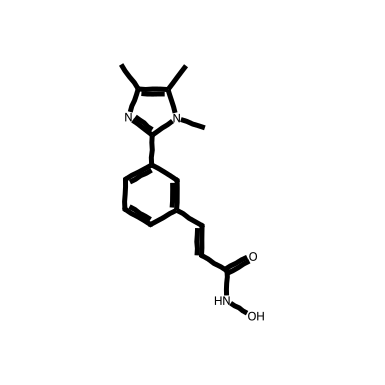 Cc1nc(-c2cccc(C=CC(=O)NO)c2)n(C)c1C